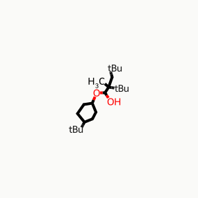 CC(C)(C)CC(C)(C(O)OC1CCC(C(C)(C)C)CC1)C(C)(C)C